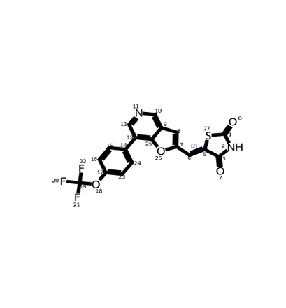 O=C1NC(=O)/C(=C/c2cc3cncc(-c4ccc(OC(F)(F)F)cc4)c3o2)S1